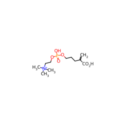 C=C(CCCOP(=O)(O)OCC[N+](C)(C)C)C(=O)O